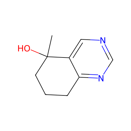 CC1(O)CCCc2ncncc21